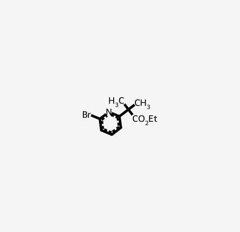 CCOC(=O)C(C)(C)c1cccc(Br)n1